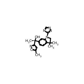 Cc1cc([C@](C)(O)c2ccc3c(c2)N(c2ncns2)CC3(C)C)no1